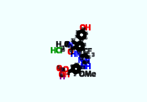 COc1cc(CO[PH](=O)O)ccc1Nc1ncc(C(F)(F)F)c(Nc2ccc([C@H]3CC[C@H](O)CC3)c3c2C(=O)N(C)C3)n1.Cl